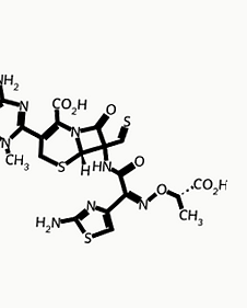 C[C@H](O/N=C(\C(=O)NC1(C=S)C(=O)N2C(C(=O)O)=C(C3=NC(N)=CCN3C)CS[C@H]21)c1csc(N)n1)C(=O)O